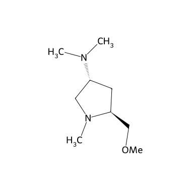 COC[C@@H]1C[C@@H](N(C)C)CN1C